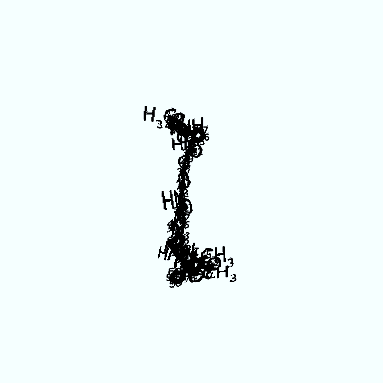 CC(=O)c1c(C)c2cnc(Nc3ccc(N4CCN(CC(=O)NCCOCCOCCC(=O)Nc5ccccc5C(=O)Nc5ncc(C)o5)CC4)cn3)nc2n(C2CCCC2)c1=O